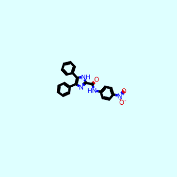 O=C(Nc1ccc([N+](=O)[O-])cc1)c1nc(-c2ccccc2)c(-c2ccccc2)[nH]1